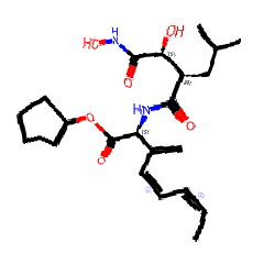 C=C(/C=C\C=C/C)[C@H](NC(=O)[C@H](CC(C)C)[C@H](O)C(=O)NO)C(=O)OC1CCCC1